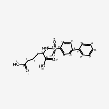 O=C(O)CCCC(NS(=O)(=O)c1ccc(-c2ccccc2)cc1)C(=O)O